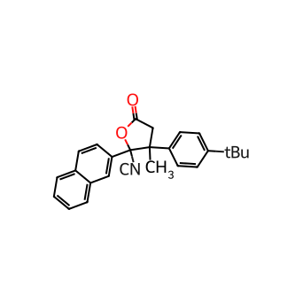 CC(C)(C)c1ccc(C2(C)CC(=O)OC2(C#N)c2ccc3ccccc3c2)cc1